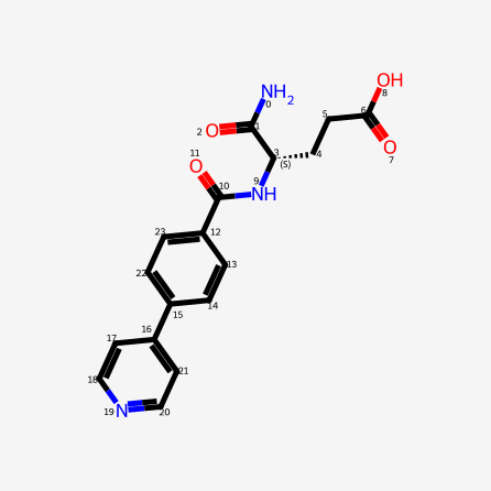 NC(=O)[C@H](CCC(=O)O)NC(=O)c1ccc(-c2ccncc2)cc1